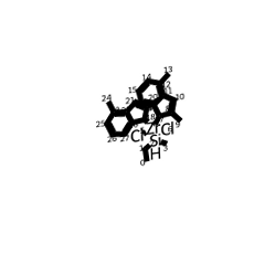 CC[SiH](C)[Zr]([Cl])([Cl])([CH]1C(C)=Cc2c(C)cccc21)[CH]1C(C)=Cc2c(C)cccc21